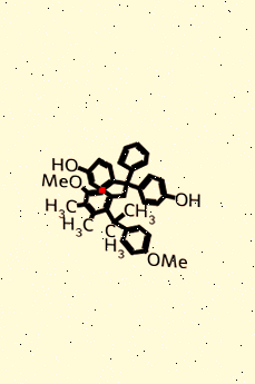 COc1ccc(C(C)(C)c2c(CC(c3ccccc3)(c3ccc(O)cc3)c3ccc(O)cc3)cc(OC)c(C)c2C)cc1